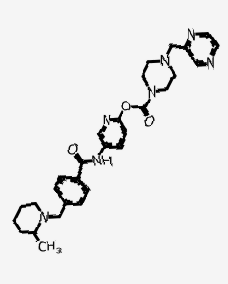 CC1CCCCN1Cc1ccc(C(=O)Nc2ccc(OC(=O)N3CCN(Cc4cnccn4)CC3)nc2)cc1